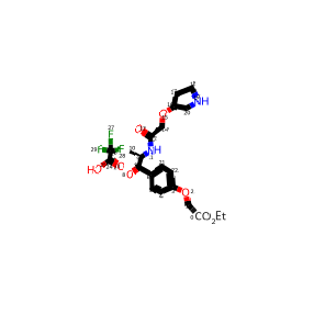 CCOC(=O)COc1ccc(C(=O)[C@@H](C)NC(=O)COC2CCNC2)cc1.O=C(O)C(F)(F)F